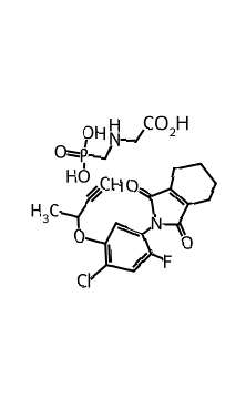 C#CC(C)Oc1cc(N2C(=O)C3=C(CCCC3)C2=O)c(F)cc1Cl.O=C(O)CNCP(=O)(O)O